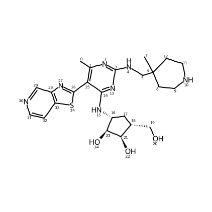 Cc1nc(NCC2(C)CCNCC2)nc(N[C@@H]2C[C@H](CO)[C@@H](O)[C@H]2O)c1-c1nc2cnccc2s1